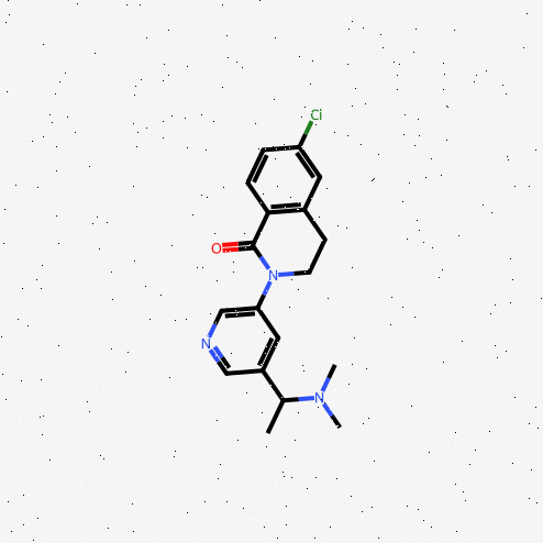 CC(c1cncc(N2CCc3cc(Cl)ccc3C2=O)c1)N(C)C